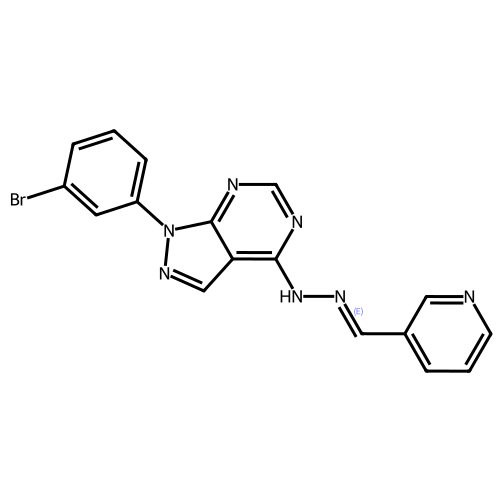 Brc1cccc(-n2ncc3c(N/N=C/c4cccnc4)ncnc32)c1